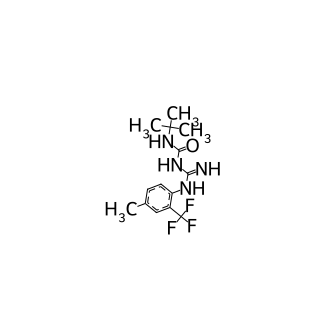 Cc1ccc(NC(=N)NC(=O)NC(C)(C)C)c(C(F)(F)F)c1